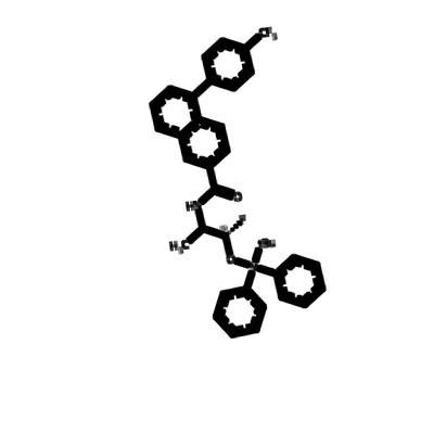 CC(NC(=O)c1ccc2c(-c3ccc(C(F)(F)F)cc3)cccc2c1)[C@H](F)O[Si](c1ccccc1)(c1ccccc1)C(C)(C)C